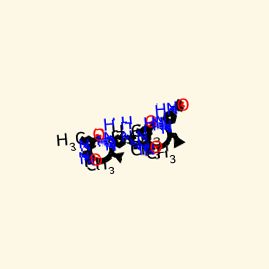 Cc1cc2cc(n1)-c1cnn(C)c1OCCCC(C1CC1)CN1/C(=N/C2=O)Nc2cc(NC(C)CN(C)Cc3nn(C)c4c3-c3cc(cc(C)n3)C(=O)/N=C3\Nc5cc(NC6COC6)ccc5N3CC(CC3CC3)CCCO4)ccc21